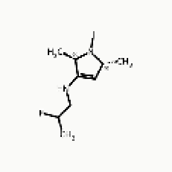 CC(F)CNC1=C[C@@H](C)N(I)[C@@H]1C